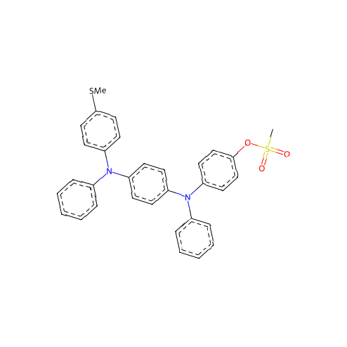 CSc1ccc(N(c2ccccc2)c2ccc(N(c3ccccc3)c3ccc(OS(C)(=O)=O)cc3)cc2)cc1